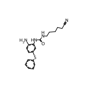 N#CCCCCCNC(=O)Nc1cc(Sc2ccccc2)ccc1N